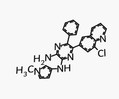 Cn1ccc(Nc2nc(-c3cc(Cl)c4ncccc4c3)c(-c3ccccc3)nc2N)c1